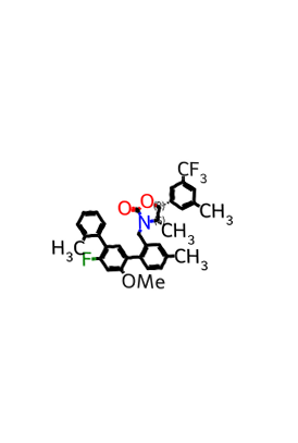 COc1cc(F)c(-c2ccccc2C)cc1-c1ccc(C)cc1CN1C(=O)O[C@H](c2cc(C)cc(C(F)(F)F)c2)[C@@H]1C